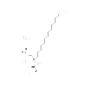 C=CC(=O)NC(C)(CCCCCCCCCCCCCCCCCCCCCCC)CO[S-](=O)=O.[Na+]